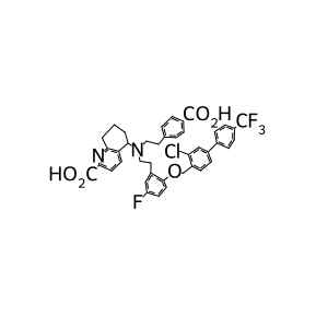 O=C(O)c1ccc(CCN(CCc2cc(F)ccc2OCc2ccc(-c3ccc(C(F)(F)F)cc3)cc2Cl)C2CCCc3nc(C(=O)O)ccc32)cc1